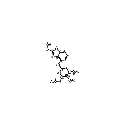 CC(=O)OC[C@H]1O[C@@H](Oc2cccc3oc(CO)cc23)C[C@@H](OC(C)=O)[C@H]1OC(C)=O